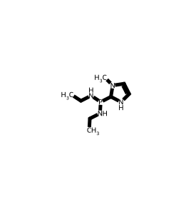 CCNP(NCC)C1NC=CN1C